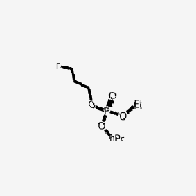 CCCOP(=O)(OCC)OCCCF